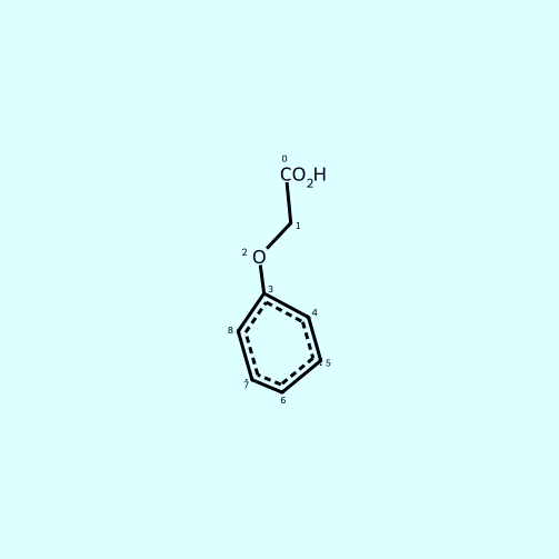 O=C(O)COc1c[c]c[c]c1